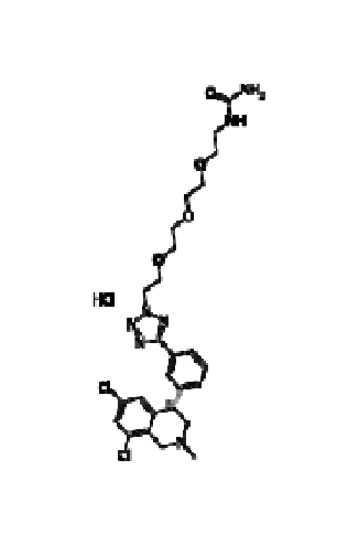 CN1Cc2c(Cl)cc(Cl)cc2[C@H](c2cccc(-c3nnn(CCOCCOCCOCCNC(N)=O)n3)c2)C1.Cl